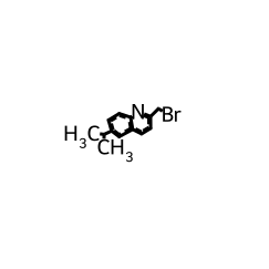 CC(C)c1ccc2nc(CBr)ccc2c1